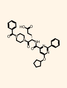 O=C(O)CC[C@H](NC(=O)c1cc(OC2CCCC2)nc(-c2ccccc2)n1)C(=O)N1CCN(C(=O)c2ccccc2)CC1